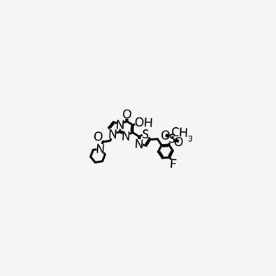 CS(=O)(=O)c1cc(F)ccc1Cc1cnc(-c2nc3n(CC(=O)N4CCCCC4)ccn3c(=O)c2O)s1